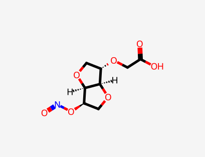 O=NO[C@@H]1CO[C@H]2[C@@H]1OC[C@@H]2OCC(=O)O